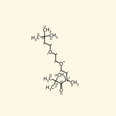 CN(CCOCCOCCC(C)(C)C)C(=O)C(C)(C)C